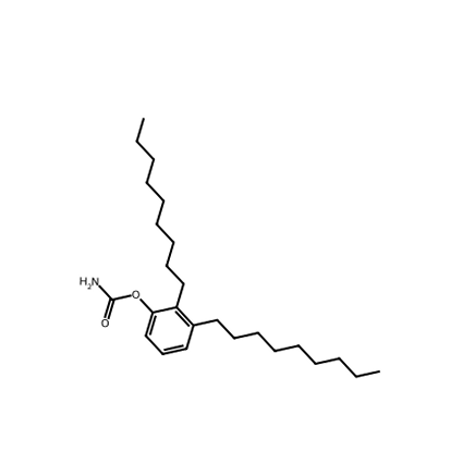 CCCCCCCCCc1cccc(OC(N)=O)c1CCCCCCCCC